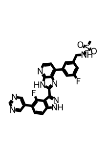 CS(=O)(=O)NCc1cc(F)cc(-c2ccnc3[nH]c(-c4n[nH]c5ccc(-c6cncnc6)c(F)c45)nc23)c1